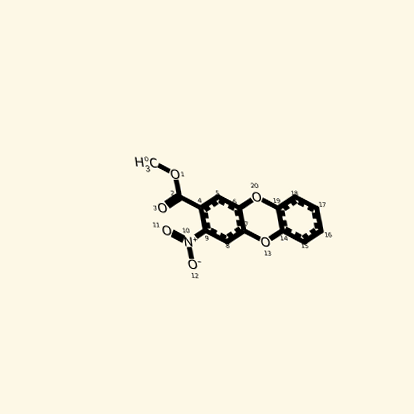 COC(=O)c1cc2c(cc1[N+](=O)[O-])Oc1ccccc1O2